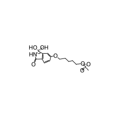 CS(=O)(=O)OCCCCCOc1ccc2c(c1)S(O)(O)NC2=O